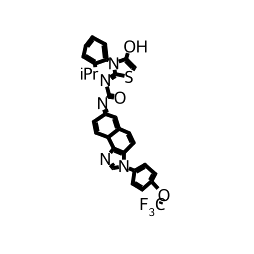 CC(C)c1ccccc1-n1c(O)cs/c1=N\C(=O)N=C1C=CC2C(=C1)C=Cc1c2ncn1-c1ccc(OC(F)(F)F)cc1